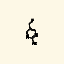 CC(=O)c1ncc(CF)cn1